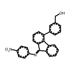 O=[N+]([O-])c1ccc(N=C2c3ccccc3-c3c2cccc3-c2cccc(CO)c2)cc1